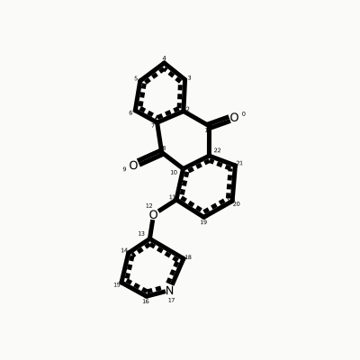 O=C1c2ccccc2C(=O)c2c(Oc3cccnc3)[c]ccc21